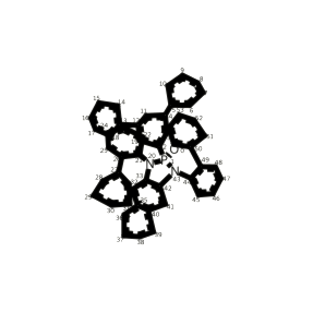 O=P1(c2cc(-c3ccccc3)cc(-c3ccccc3)c2)N(c2ccccc2-c2ccccc2)c2cc3ccccc3cc2N1c1ccccc1-c1ccccc1